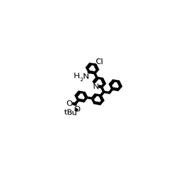 CC(C)(C)OC(=O)c1cccc(-c2cccc(C(Cc3ccccc3)c3ccc(-c4cc(Cl)ccc4N)cn3)c2)c1